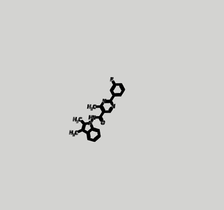 Cc1nc(-c2cccc(F)c2)ncc1C(=O)Nn1c(C)c(C)c2ccccc21